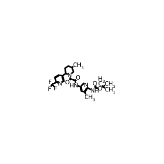 Cc1cc(NC(=O)C(=O)N2CC(C)CCC2c2ccc(C(F)(F)F)nc2)cnc1NC(=O)OC(C)(C)C